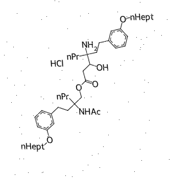 CCCCCCCOc1cccc(CCC(CCC)(COC(=O)CC(O)C(N)(CCC)CCc2cccc(OCCCCCCC)c2)NC(C)=O)c1.Cl